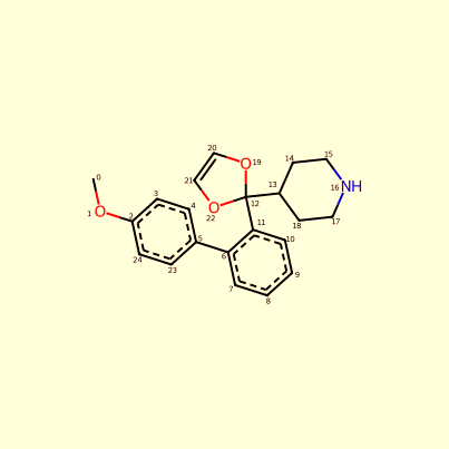 COc1ccc(-c2ccccc2C2(C3CCNCC3)OC=CO2)cc1